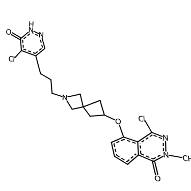 Cn1nc(Cl)c2c(OC3CC4(C3)CN(CCCc3cn[nH]c(=O)c3Cl)C4)cccc2c1=O